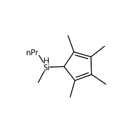 CCC[SiH](C)C1C(C)=C(C)C(C)=C1C